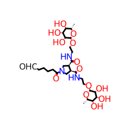 C[C@@H]1O[C@@H](OCCNC(=O)[C@H]2CN(C(=O)CCCCC=O)C[C@H]2C(=O)NCCO[C@@H]2O[C@@H](C)[C@@H](O)[C@@H](O)[C@@H]2O)[C@@H](O)[C@H](O)[C@@H]1O